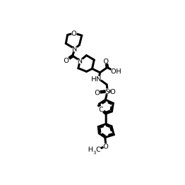 COc1ccc(-c2ccc(S(=O)(=O)CNC(C(=O)O)C3CCN(C(=O)N4CCOCC4)CC3)cc2)cc1